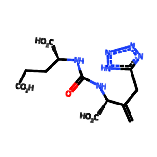 C=C(Cc1nnn[nH]1)[C@H](NC(=O)N[C@@H](CCC(=O)O)C(=O)O)C(=O)O